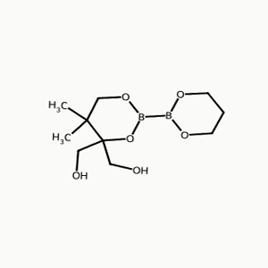 CC1(C)COB(B2OCCCO2)OC1(CO)CO